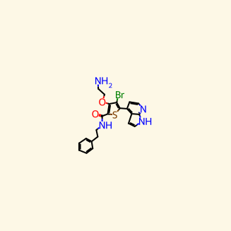 NCCOc1c(C(=O)NCCc2ccccc2)sc(-c2ccnc3[nH]ccc23)c1Br